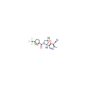 Cc1ncc2c(c1C#N)O[C@H]1C[C@@H]2N(C(=O)C23CCC(C(F)(F)F)(CC2)C3)C1